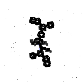 C=C/C(=C\C=C(/C)C(CC)(CC)c1ccc(-c2nc(-c3ccccc3)cc(-c3ccc4ccccc4c3)n2)cc1)c1nc(-c2ccccc2)cc(-c2ccc3ccccc3c2)n1